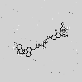 O=C1CCC(N2C(=O)c3cccc4c(CCCNC(=O)N5CC(Oc6ccc7cc(O)c(N8CC(=O)NS8(=O)=O)c(F)c7c6)C5)ccc2c34)C(=O)N1